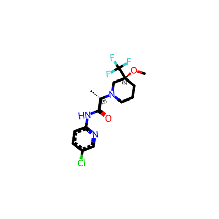 CO[C@@]1(C(F)(F)F)CCCN([C@@H](C)C(=O)Nc2ccc(Cl)cn2)C1